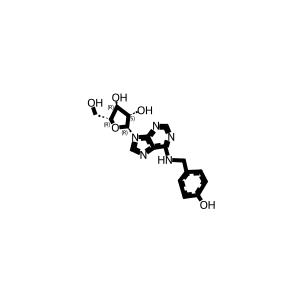 OC[C@H]1O[C@@H](n2cnc3c(NCc4ccc(O)cc4)ncnc32)[C@@H](O)[C@H]1O